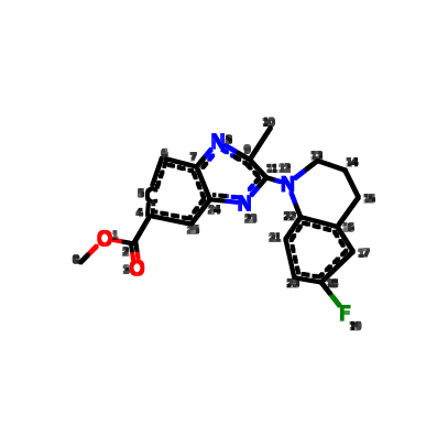 COC(=O)c1ccc2nc(C)c(N3CCCc4cc(F)ccc43)nc2c1